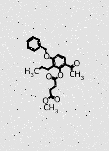 CCCc1c(OCc2ccccc2)ccc(C(C)=O)c1OC(=O)CCC(=O)OC